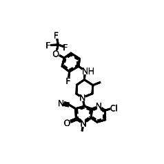 CC1CN(c2c(C#N)c(=O)n(C)c3ccc(Cl)nc23)CCC1Nc1ccc(OC(F)(F)F)cc1F